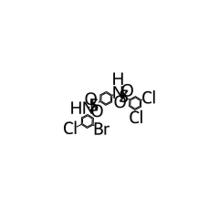 O=S(=O)(Nc1cc(Cl)cc(Br)c1)c1ccc(NS(=O)(=O)c2cc(Cl)cc(Cl)c2)cc1